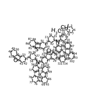 CC1(C)c2ccccc2-c2ccc(N(c3cccc(-c4cc(CC5(C)c6ccccc6-c6ccc(N(c7cccc(-c8ccc9oc%10ccccc%10c9c8)c7)c7ccc8c(c7)C7(c9ccccc9-c9ccccc97)c7ccccc7-8)cc65)c5sc6ccccc6c5c4)c3)c3ccc4c(c3)C3(c5ccccc5-c5ccccc53)c3ccccc3-4)cc21